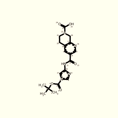 CC(C)(C)OC(=O)n1cnc(NC(=O)c2cnc3c(c2)CCN(C(=O)O)C3)c1